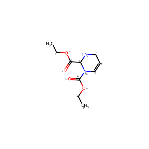 CCOC(=O)C1NCC=CN1C(=O)OCC